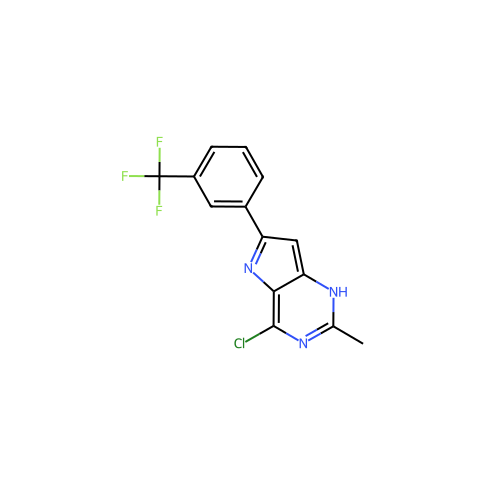 Cc1nc(Cl)c2nc(-c3cccc(C(F)(F)F)c3)cc-2[nH]1